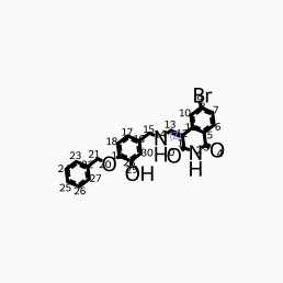 O=C1NC(=O)c2ccc(Br)cc2/C1=C/NCc1ccc(OCc2ccccc2)c(O)c1